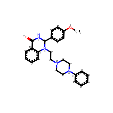 COc1ccc(C2NC(=O)c3ccccc3N2CCN2CCN(c3ccccc3)CC2)cc1